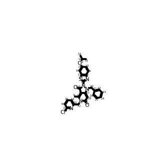 Cc1c2c(=O)n(-c3nc4ccc(OC(C)C)cc4s3)n(Cc3ccccc3)c2cc(=O)n1Cc1cccc(Cl)n1